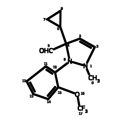 CN1C=CC(C=O)(C2CC2)N1c1ccccc1OC(F)(F)F